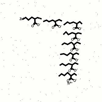 CCCCC(CC)C(=O)[O-].CCCCC(CC)C(=O)[O-].CCCCC(CC)C(=O)[O-].CCCCC(CC)C(=O)[O-].CCCCC(CC)C(=O)[O-].CCCCC(CC)C(=O)[O-].CCCCC(CC)C(=O)[O-].CCCCC(CC)C(=O)[O-].[Ti+4].[Zr+4]